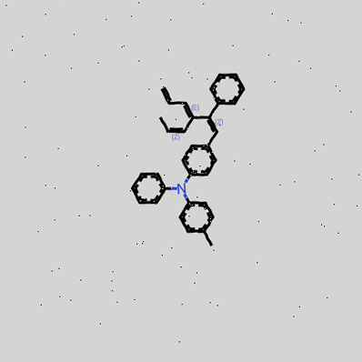 C=C/C=C(\C=C/C)C(=C\c1ccc(N(c2ccccc2)c2ccc(C)cc2)cc1)/c1ccccc1